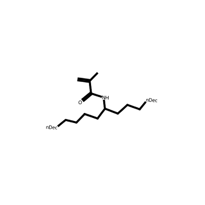 C=C(C)C(=O)NC(CCCCCCCCCCCCC)CCCCCCCCCCCCCC